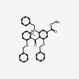 CC(C)(C)OC(=O)c1cc(OCc2ccccc2)c(C(=O)c2c(N)cccc2OCc2ccccc2)c(OCc2ccccc2)c1